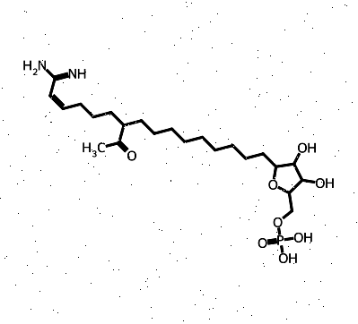 CC(=O)C(CCC/C=C\C(=N)N)CCCCCCCCCC1OC(COP(=O)(O)O)C(O)C1O